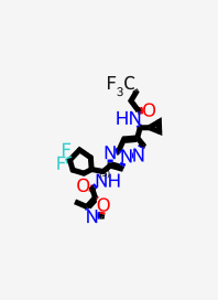 Cc1ncoc1C(=O)N[C@H](c1cn2ncc(C(NC(=O)CCC(F)(F)F)C3CC3)cc2n1)C1CCC(F)(F)CC1